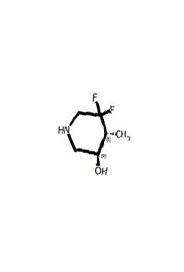 C[C@@H]1[C@@H](O)CNCC1(F)F